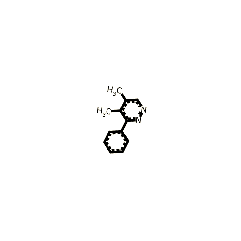 Cc1cnnc(-c2ccccc2)c1C